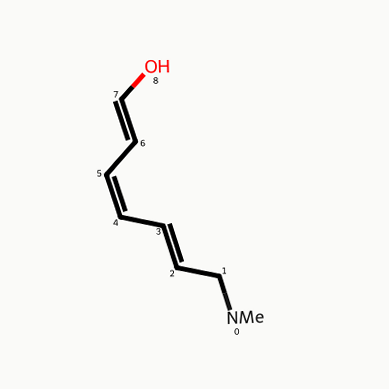 CNC/C=C/C=C\C=C\O